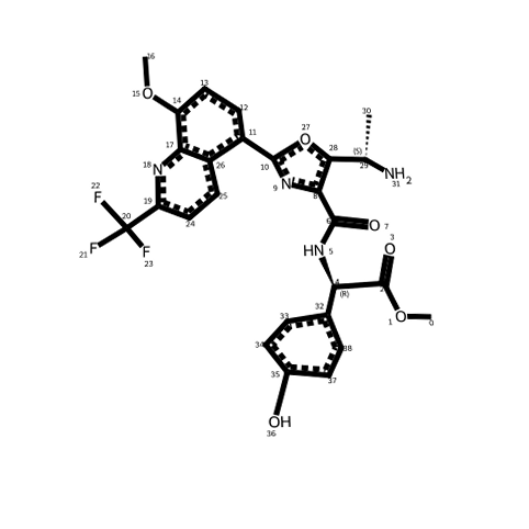 COC(=O)[C@H](NC(=O)c1nc(-c2ccc(OC)c3nc(C(F)(F)F)ccc23)oc1[C@H](C)N)c1ccc(O)cc1